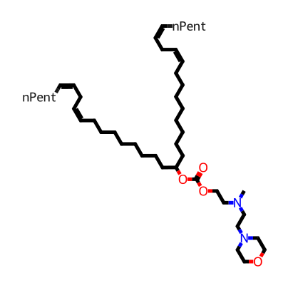 CCCCC/C=C\C/C=C\CCCCCCCCC(CCCCCCCC/C=C\C/C=C\CCCCC)OC(=O)OCCN(C)CCN1CCOCC1